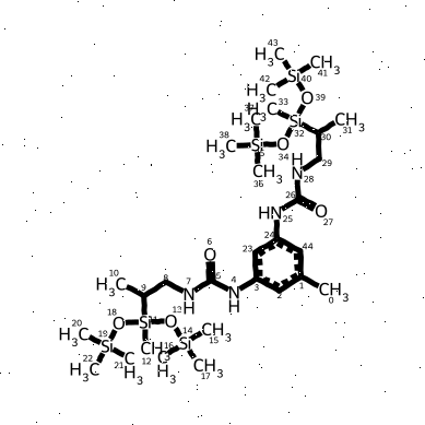 Cc1cc(NC(=O)NCC(C)[Si](C)(O[Si](C)(C)C)O[Si](C)(C)C)cc(NC(=O)NCC(C)[Si](C)(O[Si](C)(C)C)O[Si](C)(C)C)c1